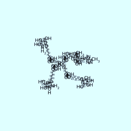 Cc1ncnc2c1ncn2[C@H]1C[C@H](OP(=O)(O)OCOCC(CO)COP(=O)(O)OCC(COCCCOP(=O)(O)OCCCCCCO[C@@H]2OC(CO)[C@H](O)C(O)[C@@H]2C)(COCCCOP(=O)(O)OCCCCCCO[C@@H]2OC(CO)[C@H](O)C(O)[C@@H]2N)COCOP(=O)(O)OCCCCCCO[C@@H]2OC(CO)[C@H](O)C(O)[C@@H]2N)[C@@H](COP(C)(=O)O)O1